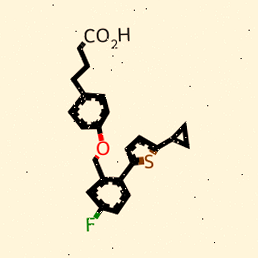 O=C(O)CCCc1ccc(OCc2cc(F)ccc2-c2ccc(C3CC3)s2)cc1